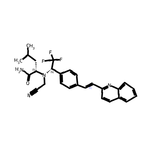 CC(C)C[C@@H](C(N)=O)N(CC#N)[C@@H](c1ccc(/C=C/c2ccc3ccccc3n2)cc1)C(F)(F)F